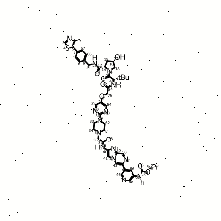 Cc1ncsc1-c1ccc(CNC(=O)[C@@H]2C[C@@H](O)CN2C(=O)[C@@H](NC(=O)COc2cnc(N3CCN(CC(=O)Nc4cn5cc(-c6cncc(N(C)C(=O)OC(C)C)c6)ncc5n4)CC3)nc2)C(C)(C)C)cc1